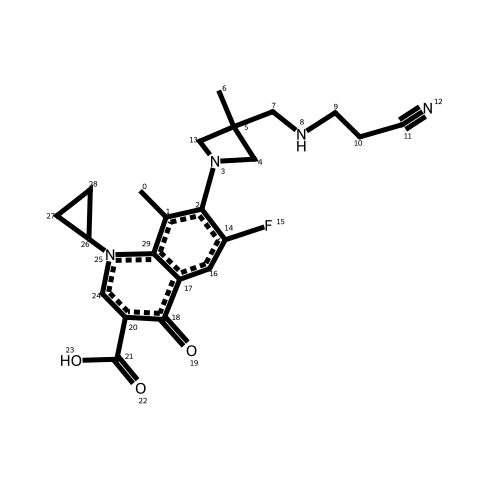 Cc1c(N2CC(C)(CNCCC#N)C2)c(F)cc2c(=O)c(C(=O)O)cn(C3CC3)c12